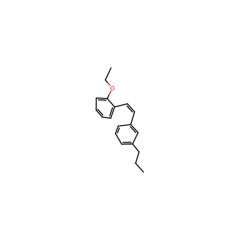 C[CH]Cc1cccc(/C=C\c2ccccc2OCC)c1